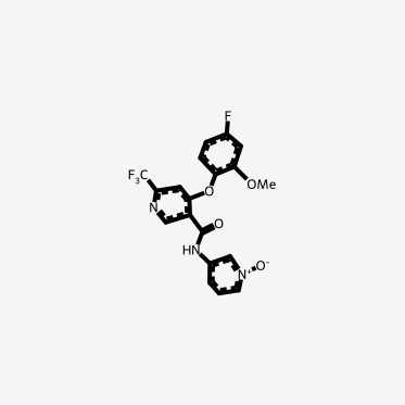 COc1cc(F)ccc1Oc1cc(C(F)(F)F)ncc1C(=O)Nc1ccc[n+]([O-])c1